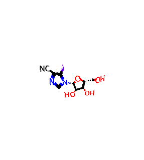 N#Cc1ncn([C@@H]2O[C@H](CO)[C@@H](O)[C@H]2O)c1I